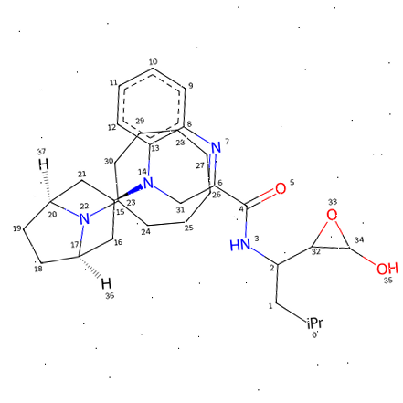 CC(C)CC(NC(=O)C1=Nc2ccccc2N([C@H]2C[C@H]3CC[C@@H](C2)N3C2CCCCCCC2)C1)C1OC1O